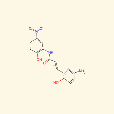 Nc1ccc(O)c(/C=C/C(=O)Nc2cc([N+](=O)[O-])ccc2O)c1